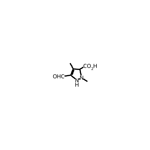 CC1=C(C=O)NN(C)C1C(=O)O